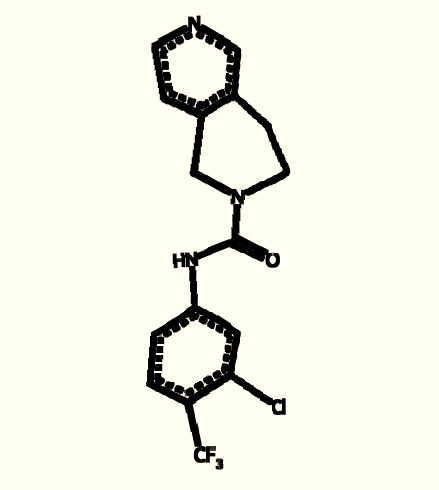 O=C(Nc1ccc(C(F)(F)F)c(Cl)c1)N1CCc2cnccc2C1